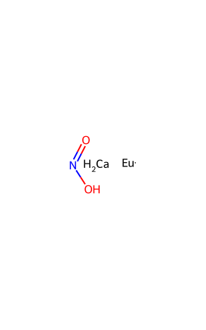 O=NO.[CaH2].[Eu]